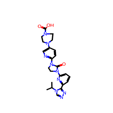 CC(C)n1cnnc1-c1cccc(N2CCN(c3ccc(N4CCN(C(=O)O)CC4)cn3)C2=O)n1